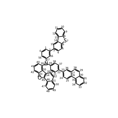 c1cc(-c2ccc3sc4ccccc4c3c2)cc(N(c2ccc(-c3ccc4c(ccc5ccccc54)c3)cc2)c2cccc3oc4c5ccccc5ccc4c23)c1